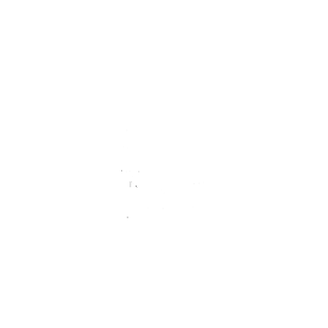 O=Cc1sc(-c2ccccc2)cc1NS(=O)(=O)c1ccc(Cl)cc1